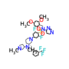 COc1ccc(CN(c2ccncn2)S(=O)(=O)c2c(F)cc(N3CCC[C@](CCc4cccc(C(F)(F)F)c4)(N(C)[C@@H]4CCN(C)C4)C3)cc2F)c(OC)c1